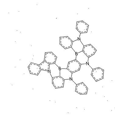 c1ccc(N2c3ccccc3B3c4cc5c(cc4N(c4ccccc4)c4cccc2c43)N(c2ccccc2)c2cccc3c2B5c2cccc4c5ccccc5n-3c24)cc1